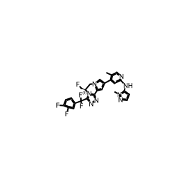 Cc1cnc(Nc2ccnn2C)cc1-c1cc2n(c1)C[C@H](CF)n1c-2nnc1C(F)(F)c1ccc(F)c(F)c1